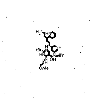 COCCCNC1N[C@H](C(C)(C)C)NCC1C(O)N(CC(C)C)[C@@H]1CNC[C@H](CCCC(CCN)C2CCCCN2)C1